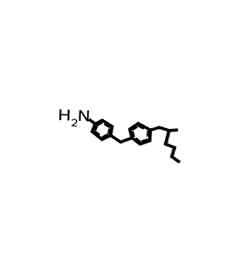 CCCCC(C)Cc1ccc(Cc2ccc(N)cc2)cc1